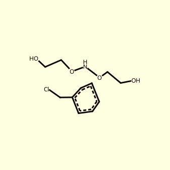 ClCc1ccccc1.OCCONOCCO